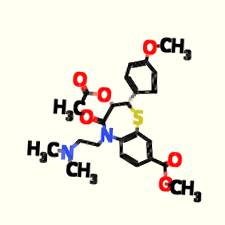 COC(=O)c1ccc2c(c1)S[C@@H](c1ccc(OC)cc1)[C@@H](OC(C)=O)C(=O)N2CCN(C)C